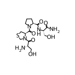 NC(=O)[C@H](CO)NC(=O)[C@@H]1CCCN1C(=O)[C@@H]1CSCN1C(=O)[C@@H](N)CO